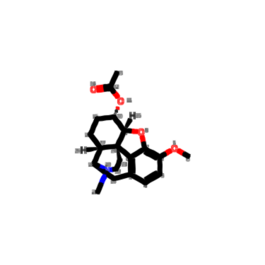 COc1ccc2c3c1O[C@H]1[C@@H](OC(C)=O)CC[C@H]4C(C2)N(C)CC[C@@]341